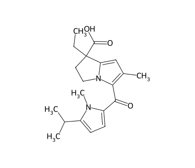 CCC1(C(=O)O)CCn2c1cc(C)c2C(=O)c1ccc(C(C)C)n1C